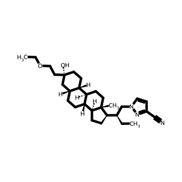 CCOCC[C@@]1(O)CC[C@H]2[C@H](CC[C@@H]3[C@@H]2CC[C@]2(C)[C@@H]([C@H](CC)Cn4ccc(C#N)n4)CC[C@@H]32)C1